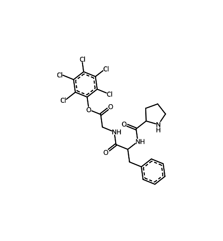 O=C(CNC(=O)C(Cc1ccccc1)NC(=O)C1CCCN1)Oc1c(Cl)c(Cl)c(Cl)c(Cl)c1Cl